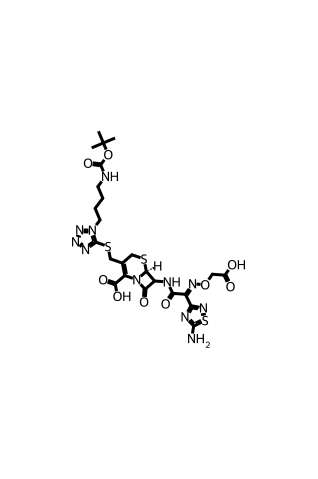 CC(C)(C)OC(=O)NCCCCn1nnnc1SCC1=C(C(=O)O)N2C(=O)C(NC(=O)C(=NOCC(=O)O)c3nsc(N)n3)[C@@H]2SC1